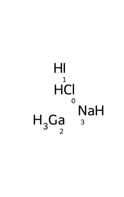 Cl.I.[GaH3].[NaH]